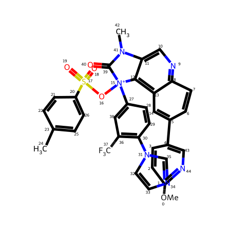 COc1ccc(-c2ccc3ncc4c(c3c2)[N+](OS(=O)(=O)c2ccc(C)cc2)(c2ccc(-n3ccnc3)c(C(F)(F)F)c2)C(=O)N4C)cn1